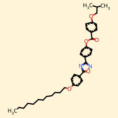 CCCCCCCCCCCCOc1ccc(-c2nc(-c3ccc(OC(=O)c4ccc(OCC(C)C)cc4)cc3)no2)cc1